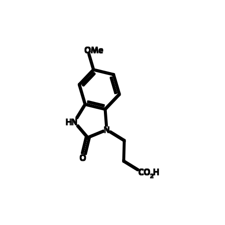 COc1ccc2c(c1)[nH]c(=O)n2CCC(=O)O